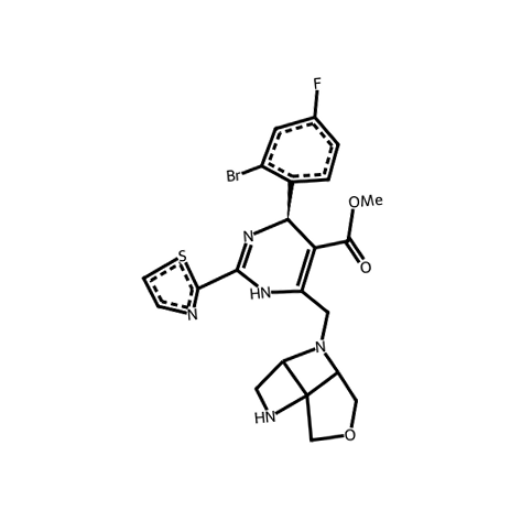 COC(=O)C1=C(CN2C3CNC34COCC24)NC(c2nccs2)=N[C@H]1c1ccc(F)cc1Br